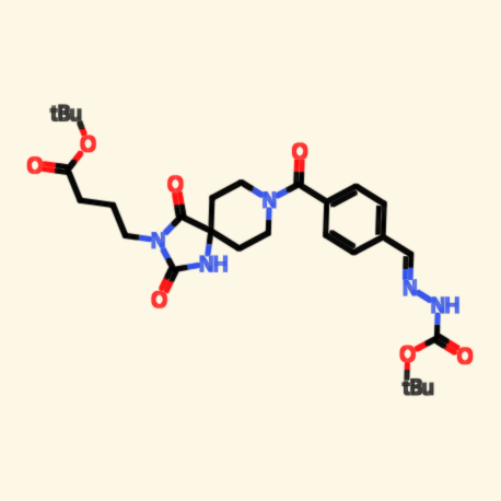 CC(C)(C)OC(=O)CCCN1C(=O)NC2(CCN(C(=O)c3ccc(C=NNC(=O)OC(C)(C)C)cc3)CC2)C1=O